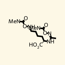 CNC(=O)O/N=C(/C)N[C@@H](CCCCNOC(=O)NC)C(=O)O